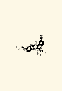 [C-]#[N+]c1ccc2c(c1)[C@@H](Nc1nc3cc(OCC)ccc3s1)[C@H](O)C(C)(C)O2